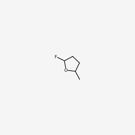 CC1CCC(F)O1